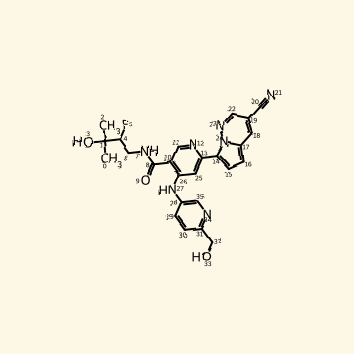 CC(C)(O)C(F)CNC(=O)c1cnc(-c2ccc3cc(C#N)cnn23)cc1Nc1ccc(CO)nc1